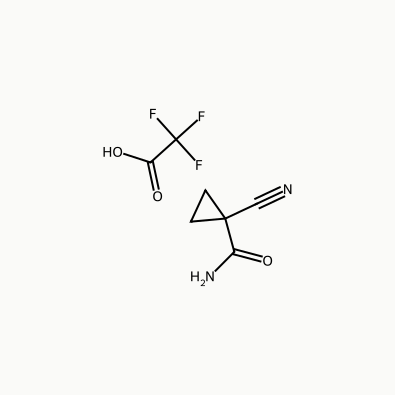 N#CC1(C(N)=O)CC1.O=C(O)C(F)(F)F